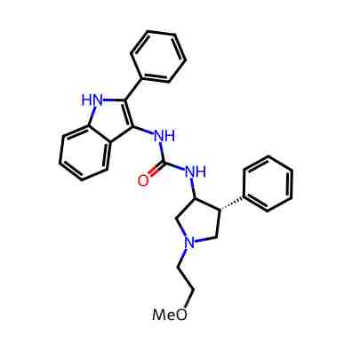 COCCN1CC(NC(=O)Nc2c(-c3ccccc3)[nH]c3ccccc23)[C@H](c2ccccc2)C1